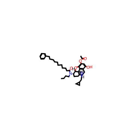 CCCCN(C(=O)CCCCCCCCCCc1ccccc1)[C@H]1CC[C@H]2[C@H]3Cc4c(O)cc(OC(C)=O)c5c4[C@@]2(CCN3CC2CC2)[C@H]1O5